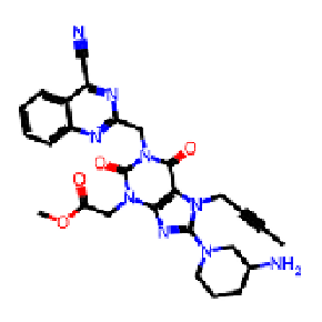 CC#CCn1c(N2CCCC(N)C2)nc2c1c(=O)n(Cc1nc(C#N)c3ccccc3n1)c(=O)n2CC(=O)OC